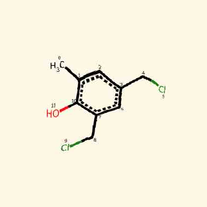 Cc1cc(CCl)cc(CCl)c1O